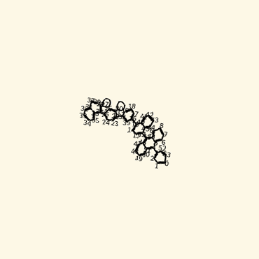 c1ccc(-c2c3ccccc3c(-c3ccc(-c4ccc5oc6c(ccc7c6oc6ccc8ccccc8c67)c5c4)c4ccccc34)c3ccccc23)cc1